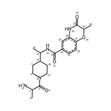 CC(N)C(=O)N1CCC(C(C)NC(=O)c2ccc3c(c2)NC(=O)C(C)O3)CC1